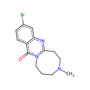 CN1CCCn2c(nc3cc(Br)ccc3c2=O)CC1